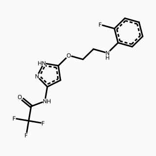 O=C(Nc1cc(OCCNc2ccccc2F)[nH]n1)C(F)(F)F